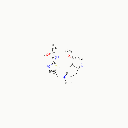 COc1ccnc(CC2CCN(Cc3cnc(NC(C)=O)s3)C2)c1